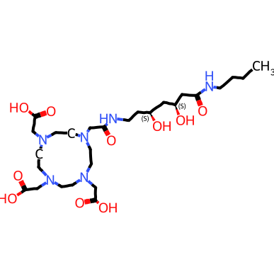 CCCCNC(=O)C[C@@H](O)C[C@@H](O)CCNC(=O)CN1CCN(CC(=O)O)CCN(CC(=O)O)CCN(CC(=O)O)CC1